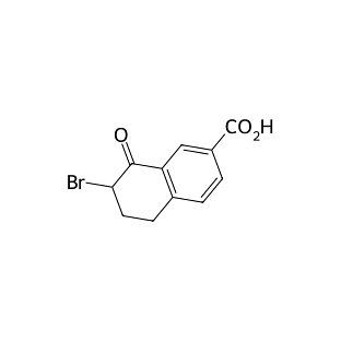 O=C(O)c1ccc2c(c1)C(=O)C(Br)CC2